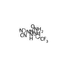 CN1CC[C@H](N/C=C(\C(=N)NC2(C)C=CC(C(F)(F)F)=CC2)C(N)=O)C(C#N)C1